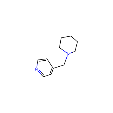 [CH]1CCCN(Cc2ccncc2)C1